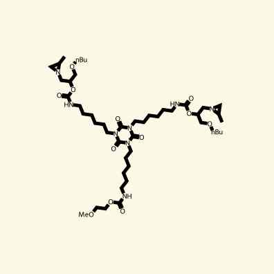 CCCCOCC(CN1CC1C)OC(=O)NCCCCCCn1c(=O)n(CCCCCCNC(=O)OCCOC)c(=O)n(CCCCCCNC(=O)OC(COCCCC)CN2CC2C)c1=O